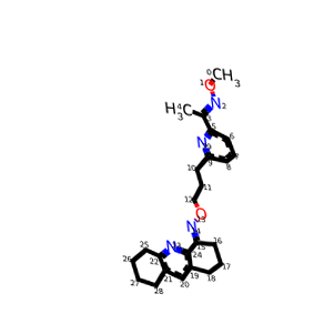 CO/N=C(\C)c1cccc(CCCO/N=C2\CCCc3cc4c(nc32)CCCC4)n1